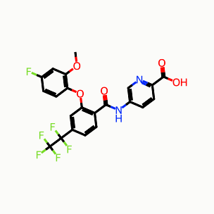 COc1cc(F)ccc1Oc1cc(C(F)(F)C(F)(F)F)ccc1C(=O)Nc1ccc(C(=O)O)nc1